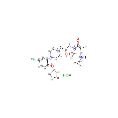 CC1C(=O)N(CC(O)CN2CCN(c3cc(F)ccc3OC3CCCC3)CC2)C(=O)C1NC1CC1.Cl